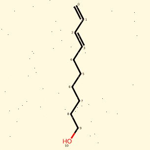 C=CC=CCCCCCCO